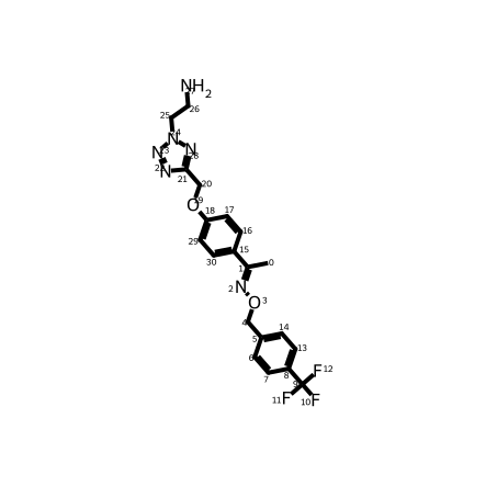 C/C(=N\OCc1ccc(C(F)(F)F)cc1)c1ccc(OCc2nnn(CCN)n2)cc1